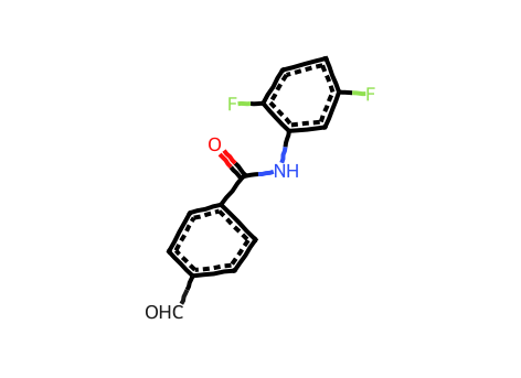 O=Cc1ccc(C(=O)Nc2cc(F)ccc2F)cc1